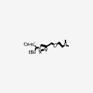 CN(C)CCOCc1cn([C@H](C=O)C(C)(C)C)nn1